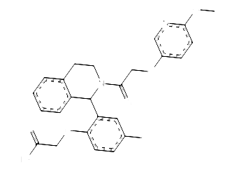 COc1ccc(OCC(=O)N2CCc3ccccc3C2c2cc(Cl)ccc2OCC(=O)O)cn1